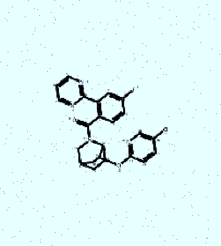 O=C(c1ccc(F)cc1-c1ncccn1)N1CC2CCC1C(Oc1ccc(Cl)cn1)C2